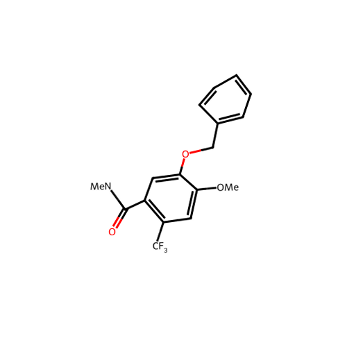 CNC(=O)c1cc(OCc2ccccc2)c(OC)cc1C(F)(F)F